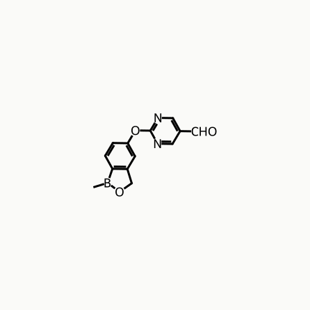 CB1OCc2cc(Oc3ncc(C=O)cn3)ccc21